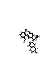 C=C1C=c2[nH]nc(-c3cc4c(cc3F)CCN(C)C4)c2=NN1c1c(F)cccc1CC